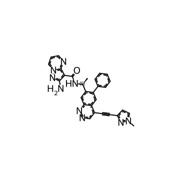 C[C@H](NC(=O)c1c(N)nn2cccnc12)c1cc2nncc(C#Cc3ccn(C)n3)c2cc1-c1ccccc1